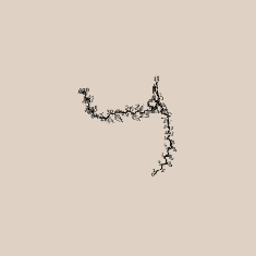 CCCCCCCC/C=C\CCCCCCCCSCC1(CSCCCCCCCC/C=C\CCCCCCCC)CN(CC)C1